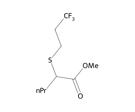 CCCC(SCCC(F)(F)F)C(=O)OC